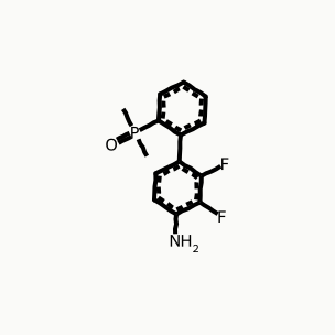 CP(C)(=O)c1ccccc1-c1ccc(N)c(F)c1F